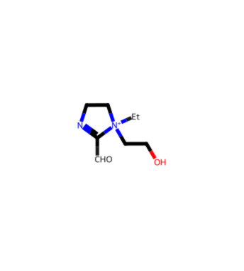 CC[N+]1(CCO)CCN=C1C=O